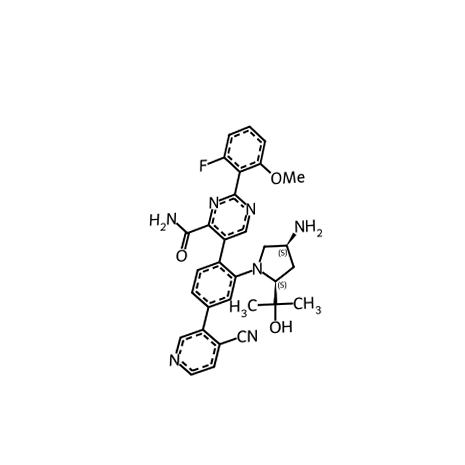 COc1cccc(F)c1-c1ncc(-c2ccc(-c3cnccc3C#N)cc2N2C[C@@H](N)C[C@H]2C(C)(C)O)c(C(N)=O)n1